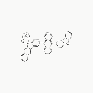 c1ccc2cc3c(cc2c1)-c1cc(-c2c4ccccc4c(-c4ccc5oc6ccccc6c5c4)c4ccccc24)ccc1C31C2CC3CC(C2)CC1C3